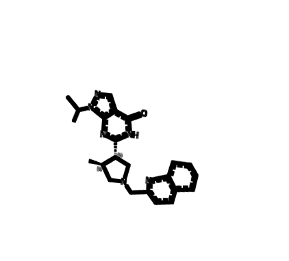 CC(C)n1ncc2c(=O)[nH]c([C@@H]3CN(Cc4ccc5ccccc5n4)C[C@H]3C)nc21